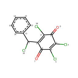 O=C1C(Cl)=C(Cl)C(=O)C(C(Cl)c2ccccc2)=C1Cl